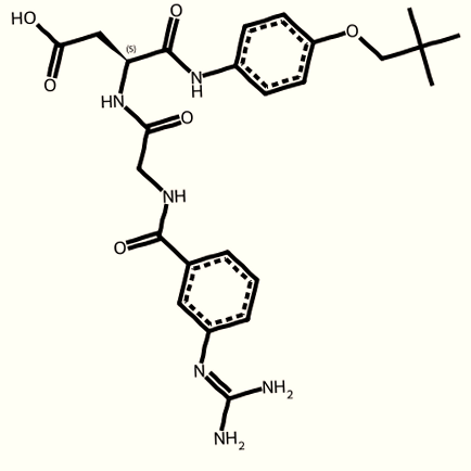 CC(C)(C)COc1ccc(NC(=O)[C@H](CC(=O)O)NC(=O)CNC(=O)c2cccc(N=C(N)N)c2)cc1